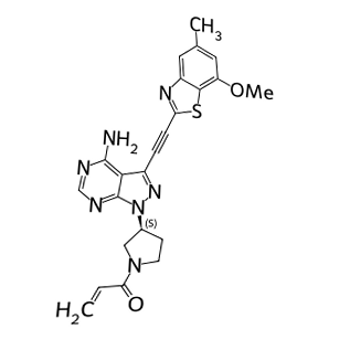 C=CC(=O)N1CC[C@H](n2nc(C#Cc3nc4cc(C)cc(OC)c4s3)c3c(N)ncnc32)C1